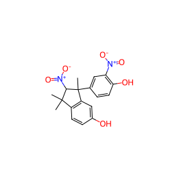 CC1(C)c2ccc(O)cc2C(C)(c2ccc(O)c([N+](=O)[O-])c2)C1[N+](=O)[O-]